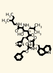 CCC(C)CNC(=O)C(N)[C@@H](O)[C@H](CC(C)C)C(=O)[C@H](Cc1cscn1)NC(=O)[C@H](Cc1cccc2ncccc12)NC(=O)OCc1ccccc1